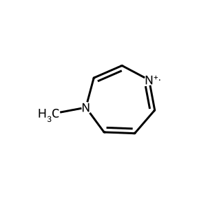 CN1C=CC=[N+]C=C1